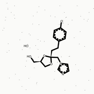 Cl.OC[C@@H]1CO[C@@](CCc2ccc(Cl)cc2)(Cn2ccnc2)O1